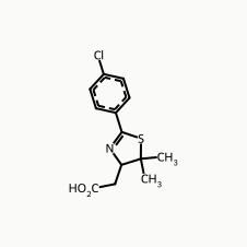 CC1(C)SC(c2ccc(Cl)cc2)=NC1CC(=O)O